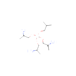 CC(C)CO[Si](OCC(C)N)(OCC(C)N)OCC(C)N